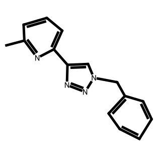 Cc1cccc(-c2cn(Cc3ccccc3)nn2)n1